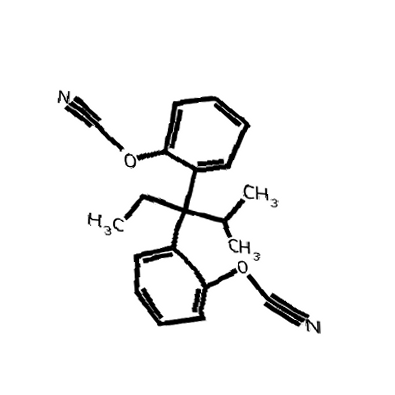 CCC(c1ccccc1OC#N)(c1ccccc1OC#N)C(C)C